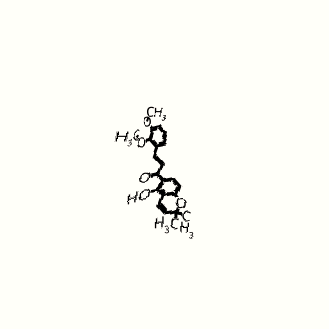 COc1cccc(/C=C/C(=O)c2ccc3c(c2O)C=CC(C)(C)O3)c1OC